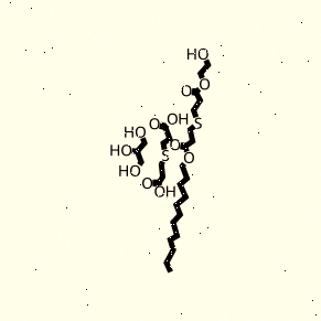 CCCCCCCCCCCCOC(=O)CCSCCC(=O)OCCO.O=C(O)CCSCCC(=O)O.OCC(O)CO